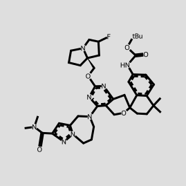 CN(C)C(=O)c1cc2n(n1)CCCN(c1nc(OC[C@@]34CCCN3CC(F)C4)nc3c1COC1(CCC(C)(C)c4ccc(NC(=O)OC(C)(C)C)cc41)C3)C2